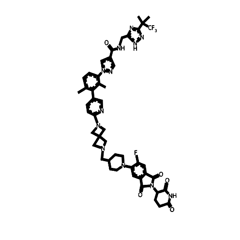 Cc1ccc(-n2cc(C(=O)NCc3nc(C(C)(C)C(F)(F)F)n[nH]3)cn2)c(C)c1-c1ccc(N2CC3(CN(CC4CCN(c5cc6c(cc5F)C(=O)N(C5CCC(=O)NC5=O)C6=O)CC4)C3)C2)nc1